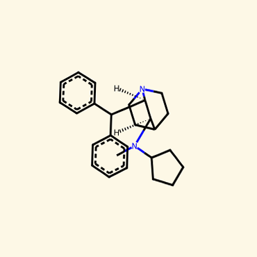 CN(C1CCCC1)[C@@H]1C2CCN(CC2)[C@@H]1C(c1ccccc1)c1ccccc1